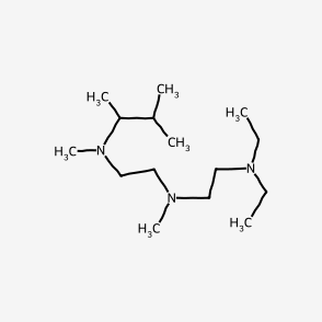 CCN(CC)CCN(C)CCN(C)C(C)C(C)C